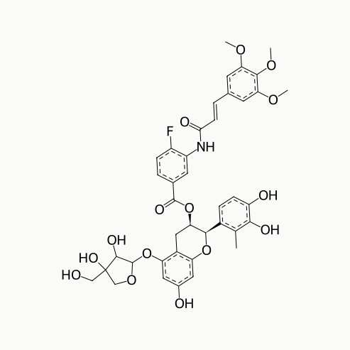 COc1cc(/C=C/C(=O)Nc2cc(C(=O)O[C@@H]3Cc4c(OC5OCC(O)(CO)C5O)cc(O)cc4O[C@@H]3c3ccc(O)c(O)c3C)ccc2F)cc(OC)c1OC